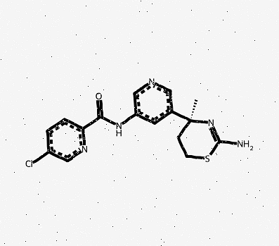 C[C@@]1(c2cncc(NC(=O)c3ccc(Cl)cn3)c2)CCSC(N)=N1